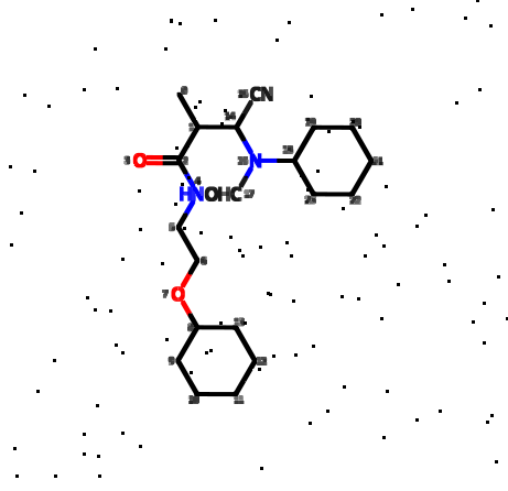 CC(C(=O)NCCOC1CCCCC1)C(C#N)N(C=O)C1CCCCC1